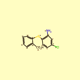 Nc1cc(Cl)ccc1Sc1ccccc1C(=O)O